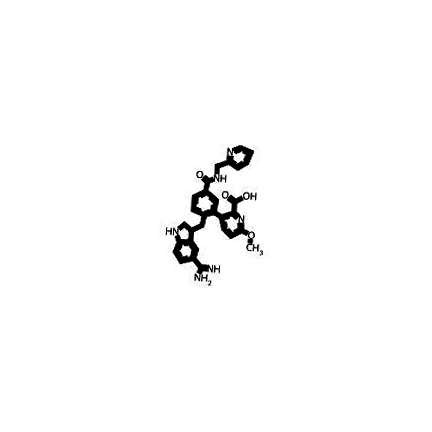 COc1ccc(-c2cc(C(=O)NCc3ccccn3)ccc2CC2CNc3ccc(C(=N)N)cc32)c(C(=O)O)n1